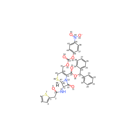 O=C(Cc1cccs1)NC1C(=O)N2C(C(=O)OC(c3ccccc3)c3ccccc3)=C(COC(=O)Oc3ccc([N+](=O)[O-])cc3)CS[C@H]12